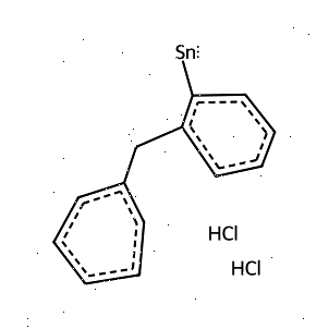 Cl.Cl.[Sn][c]1ccccc1Cc1ccccc1